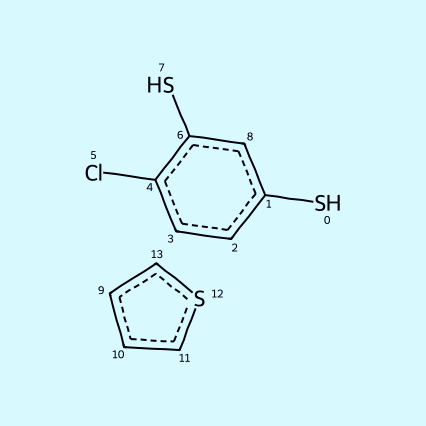 Sc1ccc(Cl)c(S)c1.c1ccsc1